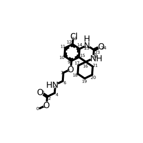 COC(=O)CNCCOc1ccc(Cl)c2c1C1(CCCCC1)NC(=O)N2